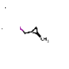 C=C1CC1CI